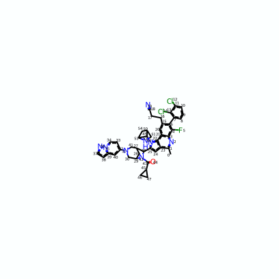 Cc1nc2c(F)c(-c3cccc(Cl)c3Cl)c(CCC#N)cc2c2c1cc(C1C3CC(CN(c4ccn5nccc5c4)C3)N1C(=O)C1CC1)n2C1C2CNC1C2